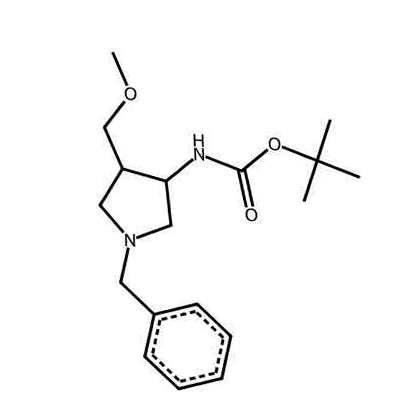 COCC1CN(Cc2ccccc2)CC1NC(=O)OC(C)(C)C